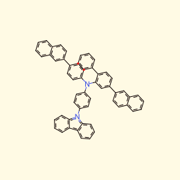 c1ccc(-c2ccc(-c3ccc4ccccc4c3)cc2N(c2ccc(-c3ccc4ccccc4c3)cc2)c2ccc(-n3c4ccccc4c4ccccc43)cc2)cc1